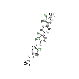 CCCCOc1ccc(CCc2ccc(C3CCC(c4ccc(C)c(F)c4F)CC3)c(F)c2F)c(F)c1F